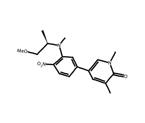 COC[C@@H](C)N(C)c1cc(-c2cc(C)c(=O)n(C)c2)ccc1[N+](=O)[O-]